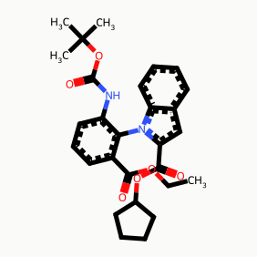 CCOC(=O)c1cccc(NC(=O)OC(C)(C)C)c1-n1c(C(=O)OC2CCCC2)cc2ccccc21